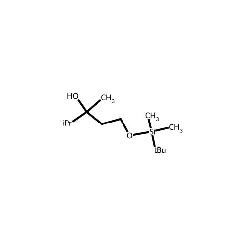 CC(C)C(C)(O)CCO[Si](C)(C)C(C)(C)C